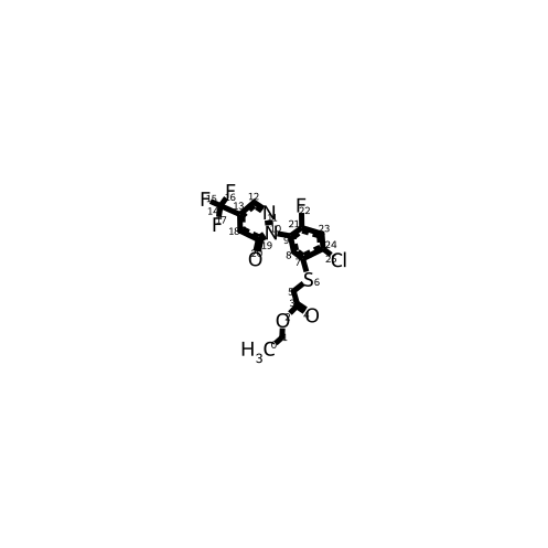 CCOC(=O)CSc1cc(-n2ncc(C(F)(F)F)cc2=O)c(F)cc1Cl